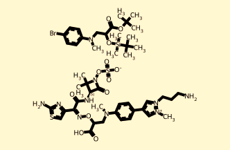 CN(CC(ON=C(C(=O)N[C@@H]1C(=O)N(OS(=O)(=O)[O-])C1(C)C)c1csc(N)n1)C(=O)O)c1ccc(-c2cn(CCCN)[n+](C)c2)cc1.CN(CC(O[Si](C)(C)C(C)(C)C)C(=O)OC(C)(C)C)c1ccc(Br)cc1